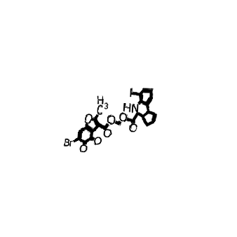 Cc1oc2c(c1C(=O)OCOC(=O)C1Nc3c(I)cccc3C3C=CCC13)C(=O)C(=O)C(Br)=C2